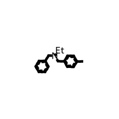 CCN(Cc1ccccc1)Cc1ccc(C)cc1